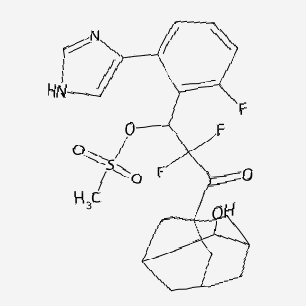 CS(=O)(=O)OC(c1c(F)cccc1-c1c[nH]cn1)C(F)(F)C(=O)C12CC3CC(C1)C(O)C(C3)C2